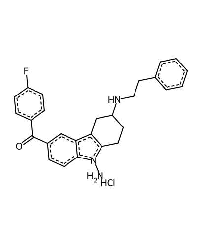 Cl.Nn1c2c(c3cc(C(=O)c4ccc(F)cc4)ccc31)CC(NCCc1ccccc1)CC2